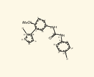 COc1ccc(NC(=O)Nc2ccc(C)cc2)cc1-c1ccnn1C